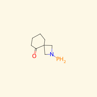 O=C1CCCCC12CN(P)C2